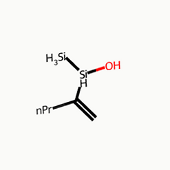 C=C(CCC)[SiH](O)[SiH3]